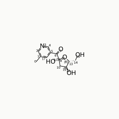 Cc1cncc(C(=O)[C@]2(O)C[C@H](O)[C@@H](CO)O2)c1